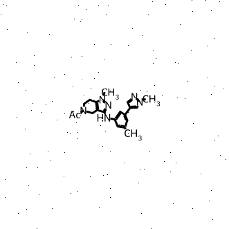 CC(=O)N1CCc2c(c(Nc3cc(C)cc(-c4cnn(C)c4)c3)nn2C)C1